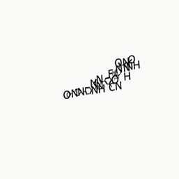 N#Cc1cc(-c2ncnc(Nc3ccc(N4CCN(C5COC5)CC4)cc3)n2)ccc1O[C@H]1CCN(C(=O)c2nc(=O)[nH][nH]2)C[C@@H]1F